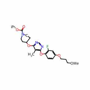 COCCCOc1ccc(Oc2ncnc(OC3CCN(C(=O)OC(C)C)CC3)c2C)c(F)c1